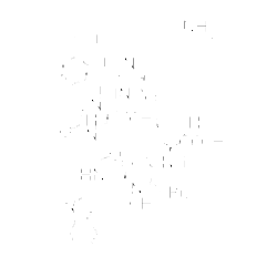 CCCC[C@@H](C(=O)N[C@@H](CC(=O)O)C(=O)O)N(C)C(=O)[C@H](Cc1c[nH]c2ccccc12)NC(=O)CNC(=O)[C@H](Cc1ccc(O)cc1)NC(=O)[C@H](C)NC(=O)[C@H](N)CCCCN